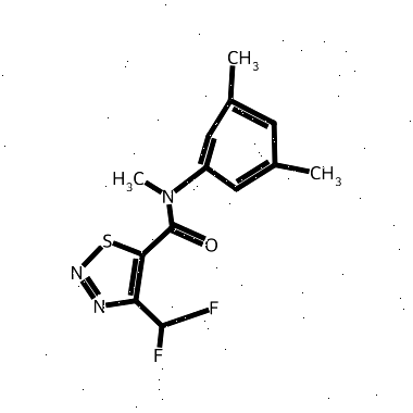 Cc1cc(C)cc(N(C)C(=O)c2snnc2C(F)F)c1